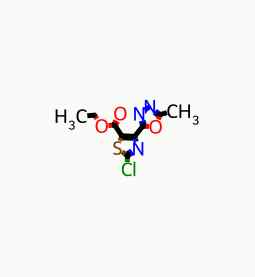 CCOC(=O)c1sc(Cl)nc1-c1nnc(C)o1